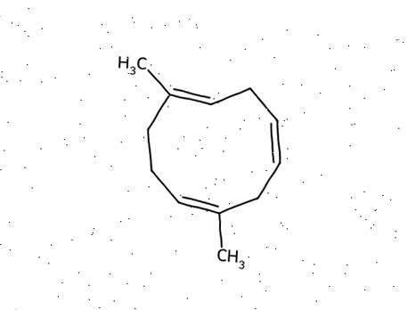 CC1=CCC/C(C)=C/CC=CC1